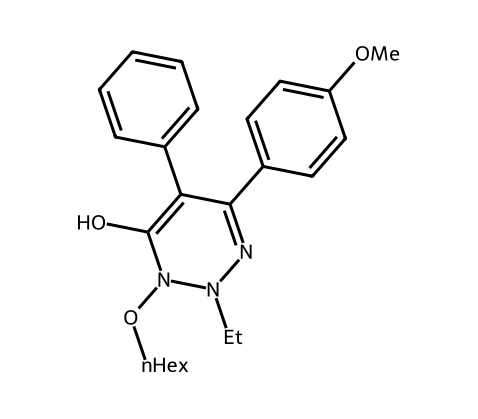 CCCCCCON1C(O)=C(c2ccccc2)C(c2ccc(OC)cc2)=NN1CC